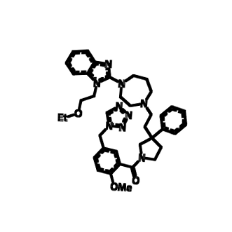 CCOCCn1c(N2CCCN(CCC3(c4ccccc4)CCN(C(=O)c4cc(Cn5cnnn5)ccc4OC)C3)CC2)nc2ccccc21